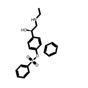 CCNC[C@H](O)c1ccc(OS(=O)(=O)c2ccccc2)cc1.c1ccccc1